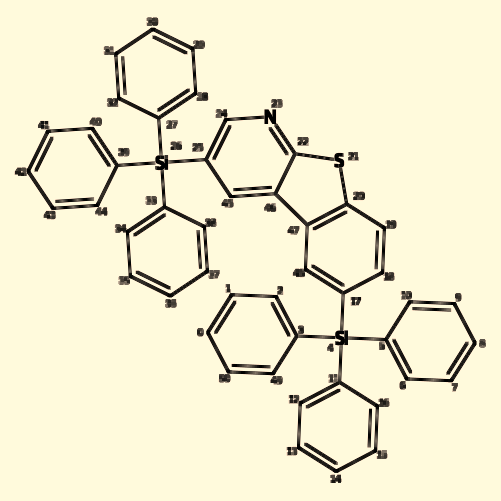 c1ccc([Si](c2ccccc2)(c2ccccc2)c2ccc3sc4ncc([Si](c5ccccc5)(c5ccccc5)c5ccccc5)cc4c3c2)cc1